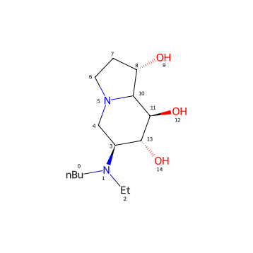 CCCCN(CC)[C@H]1CN2CC[C@H](O)C2[C@@H](O)[C@@H]1O